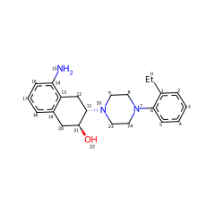 CCc1ccccc1N1CCN([C@H]2Cc3c(N)cccc3C[C@@H]2O)CC1